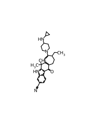 CCC1CCC2=C(C=C1N1CCC(NC3CC3)CC1)C(C)(C)c1[nH]c3cc(C#N)ccc3c1C2=O